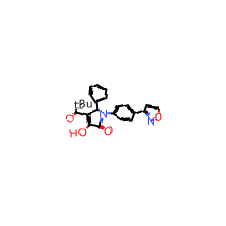 CC(C)(C)C(=O)C1=C(O)C(=O)N(c2ccc(-c3ccon3)cc2)C1c1ccccc1